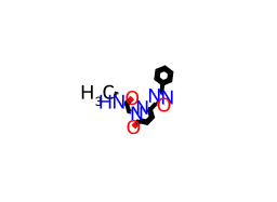 CCNC(=O)Cn1nc(-c2nc(-c3ccccc3)no2)ccc1=O